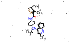 Cc1csc(C(=O)N[C@H]2CC[C@@H](N(C)c3cc(C(F)(F)F)nc4ccccc34)CC2)c1C